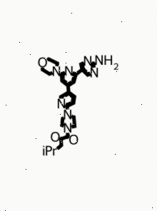 CC(C)CC(=O)C(=O)N1CCN(c2ccc(-c3cc(-c4cnc(N)nc4)nc(N4CCOCC4)c3)cn2)CC1